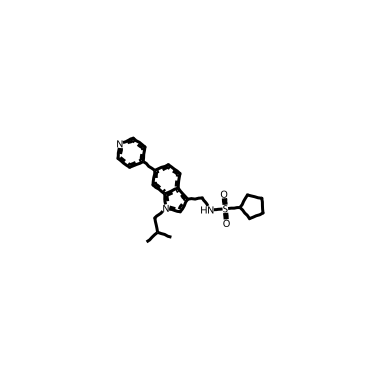 CC(C)Cn1cc(CNS(=O)(=O)C2CCCC2)c2ccc(-c3ccncc3)cc21